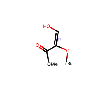 CCCCO/C(=C/O)C(=O)OC